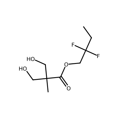 CCC(F)(F)COC(=O)C(C)(CO)CO